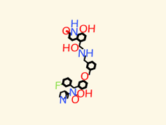 O=C(O)N(C(c1cccc(F)c1)c1cccc(OCc2cccc(CCNCC(O)c3ccc(O)c4[nH]c(=O)ccc34)c2)c1)C1CN2CCC1CC2